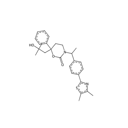 Cc1nc(-c2ccc(C(C)N3CCC(CC(C)(C)O)(c4ccccc4)OC3=O)cc2)sc1C